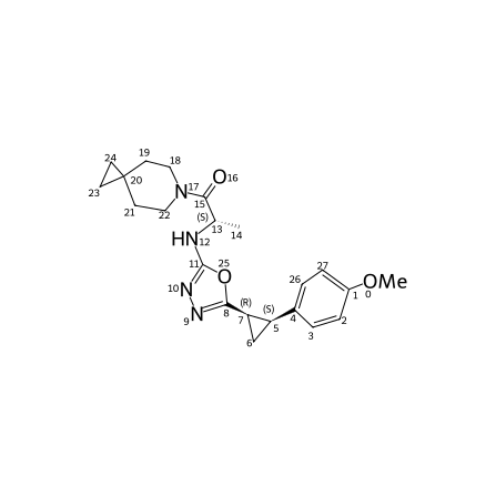 COc1ccc([C@H]2C[C@H]2c2nnc(N[C@@H](C)C(=O)N3CCC4(CC3)CC4)o2)cc1